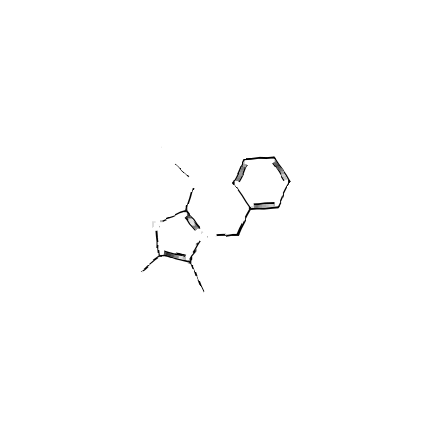 COc1[nH]c(C)c(C)[n+]1Cc1ccccc1.[I-]